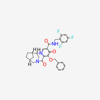 O=C(NCc1c(F)cc(F)cc1F)c1cn2c(c(OCc3ccccc3)c1=O)C(=O)N1C[C@@H]3CC[C@@H](C3)[C@H]2C1